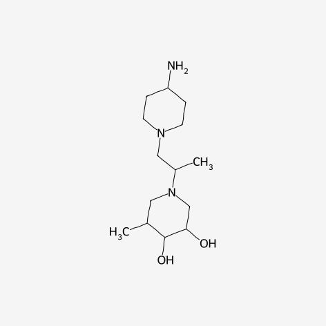 CC1CN(C(C)CN2CCC(N)CC2)CC(O)C1O